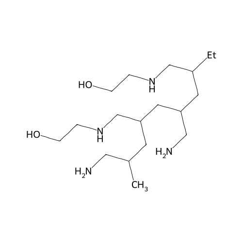 CCC(CNCCO)CC(CN)CC(CNCCO)CC(C)CN